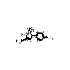 Cl.Cl.Nc1ccc(-c2cc(N)[nH]n2)cc1